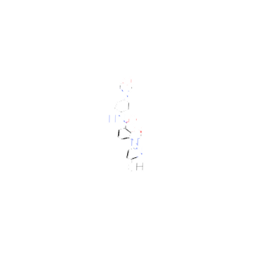 Cc1ccc(N2CCOc3c(C(=O)N[C@H]4CC[C@H](N5CCOCC5)CC4)cccc32)nc1